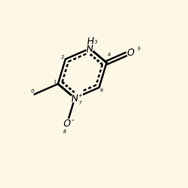 Cc1c[nH]c(=O)c[n+]1[O-]